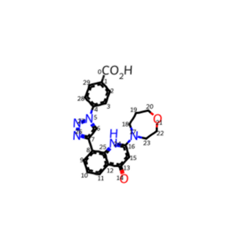 O=C(O)c1ccc(-n2cc(-c3cccc4c(=O)cc(N5CCCOCC5)[nH]c34)nn2)cc1